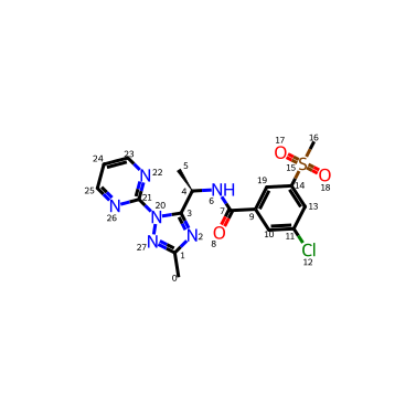 Cc1nc([C@@H](C)NC(=O)c2cc(Cl)cc(S(C)(=O)=O)c2)n(-c2ncccn2)n1